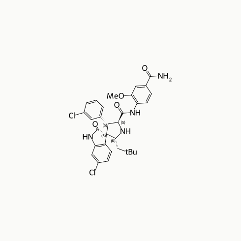 COc1cc(C(N)=O)ccc1NC(=O)[C@H]1N[C@H](CC(C)(C)C)[C@]2(C(=O)Nc3cc(Cl)ccc32)[C@@H]1c1cccc(Cl)c1